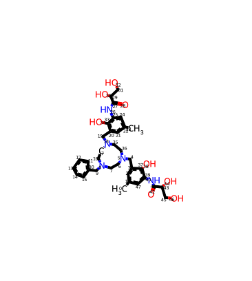 Cc1cc(CN2CCN(Cc3ccccc3)CCN(Cc3cc(C)cc(NC(=O)C(O)CO)c3O)CC2)c(O)c(NC(=O)C(O)CO)c1